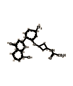 O=C(O)C(=O)NC1CC(Oc2cc(C(F)(F)F)ccc2-c2cc(=O)c3cccc(Cl)c3o2)C1